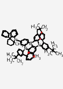 Cc1cc2c3c(c1)N(c1ccc(C(C)(C)C)cc1-c1ccccc1)c1cc4c(cc1B3c1ccc(N3c5ccccc5C5(c6ccccc6)CCCCC35C)cc1N2c1ccc(C(C)(C)C)cc1-c1ccccc1)CC(C)(C)C4